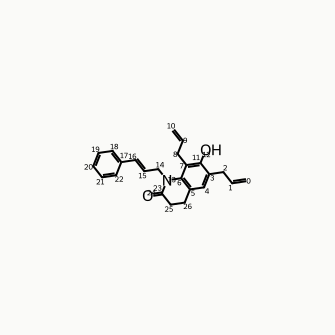 C=CCc1cc2c(c(CC=C)c1O)N(CC=Cc1ccccc1)C(=O)CC2